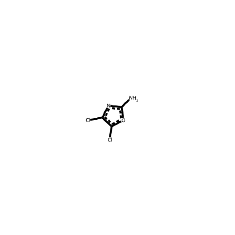 Nc1nc(Cl)c(Cl)o1